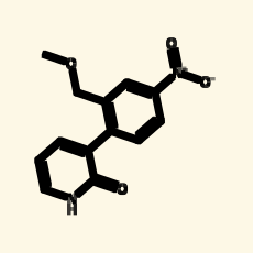 COCc1cc([N+](=O)[O-])ccc1-c1ccc[nH]c1=O